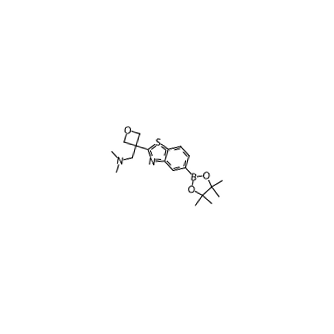 CN(C)CC1(c2nc3cc(B4OC(C)(C)C(C)(C)O4)ccc3s2)COC1